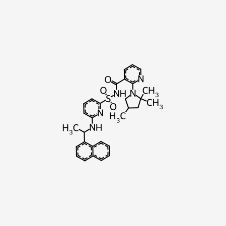 CC1CN(c2ncccc2C(=O)NS(=O)(=O)c2cccc(NC(C)c3cccc4ccccc34)n2)C(C)(C)C1